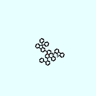 c1ccc(-c2ccccc2-c2ccccc2-c2ccccc2N(c2ccc(-c3ccc4c(c3)C(c3ccccc3)(c3ccccc3)c3ccccc3-4)cc2)c2cccc3c2sc2ccccc23)cc1